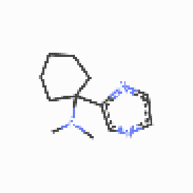 CN(C)C1(c2cnccn2)CCCCC1